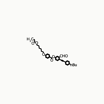 C=CC(=O)OCCCCCCOc1ccc(C(=O)Oc2ccc(C#Cc3ccc(CCCC)cc3)c(C=O)c2)cc1